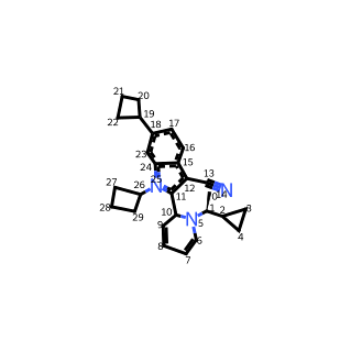 C[C@@H](C1CC1)N1C=CC=CC1c1c(C#N)c2ccc(C3CCC3)cc2n1C1CCC1